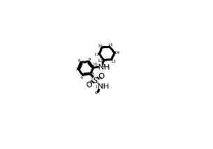 CNS(=O)(=O)c1ccccc1NC1CCCCC1